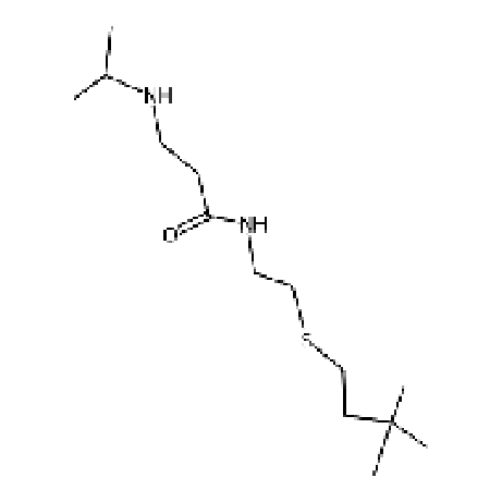 CC(C)NCCC(=O)NCCSCCC(C)(C)C